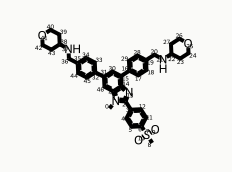 Cn1c(-c2ccc(S(C)(=O)=O)cc2)nc2c(-c3ccc(CNC4CCOCC4)cc3)cc(-c3ccc(CNC4CCOCC4)cc3)cc21